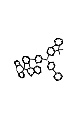 CC1(C)c2ccccc2-c2ccc(N(c3ccc(-c4ccccc4)cc3)c3ccc(-c4cccc5c4-c4c(ccc6ccccc46)C54c5ccccc5Sc5ccccc54)cc3)cc21